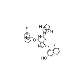 CCc1cccc2cc(O)cc(Cn3cnc4c(OC[C@@]56CCCN5C[C@H](F)C6)nc(N5C[C@H]6CC[C@@H](C5)N6)nc43)c12